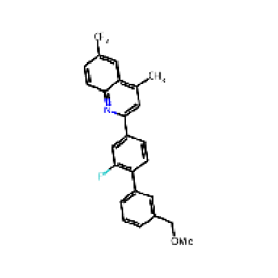 COCc1cccc(-c2ccc(-c3cc(C)c4cc(C(F)(F)F)ccc4n3)cc2F)c1